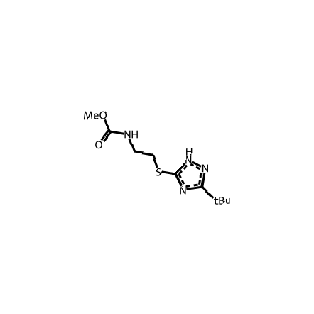 COC(=O)NCCSc1nc(C(C)(C)C)n[nH]1